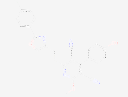 COc1nc(SCc2coc(-c3ccc(Cl)cc3)n2)c(C#N)c(-c2ccc(O)cc2)c1C#N